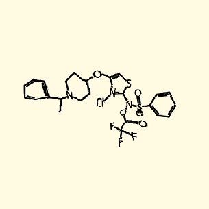 CC(c1ccccc1)N1CCC(OC2=CS[C@@H](N(OC(=O)C(F)(F)F)S(=O)(=O)c3ccccc3)N2Cl)CC1